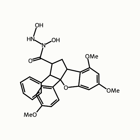 COc1ccc(C23Oc4cc(OC)cc(OC)c4C2CC(C(=O)N(O)NO)C3c2ccccc2)cc1